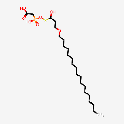 CCCCCCCCCCCCCCCCCCOCCC(O)SOP(=O)(O)CC(=O)O